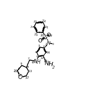 CN(c1ccc(NCC2CCOCC2)c(N)c1)S(=O)(=O)c1ccccc1